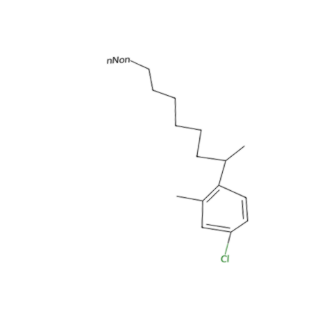 CCCCCCCCCCCCCCCC(C)c1ccc(Cl)cc1C